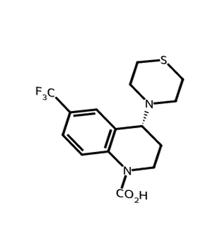 O=C(O)N1CC[C@@H](N2CCSCC2)c2cc(C(F)(F)F)ccc21